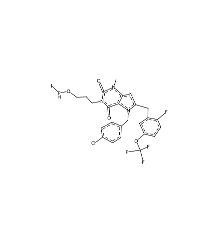 Cn1c(=O)n(CCCOPI)c(=O)c2c1nc(Cc1cc(OC(F)(F)F)ccc1F)n2Cc1ccc(Cl)cc1